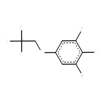 Fc1cc(OCC(F)(F)F)cc(F)c1Br